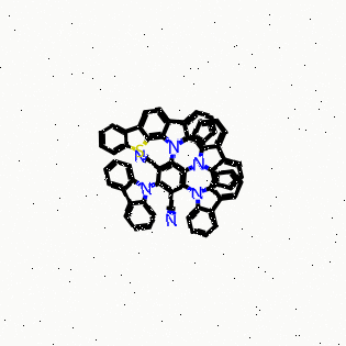 N#Cc1c(-n2c3ccccc3c3ccccc32)c(C#N)c(-n2c3ccccc3c3ccc4c5ccccc5sc4c32)c(-n2c3ccccc3c3ccccc32)c1-n1c2ccccc2c2ccccc21